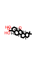 CC1(C)CC[C@]2(C)CC[C@]3(C)C(=CC(=O)[C@@H]4[C@@]5(C)CC[C@@H](O)[C@](C)(C(=O)O)[C@@H]5CC[C@]43C)[C@@H]2C1